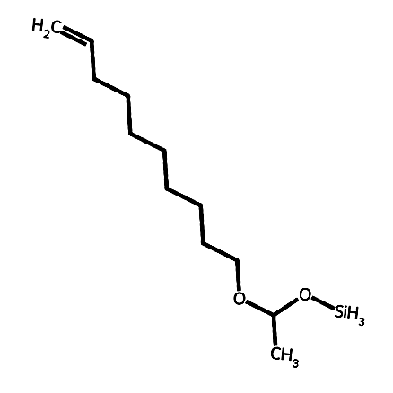 C=CCCCCCCCCOC(C)O[SiH3]